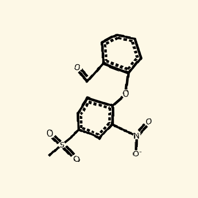 CS(=O)(=O)c1ccc(Oc2ccccc2C=O)c([N+](=O)[O-])c1